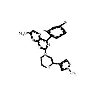 Cc1cnc2c(-c3ccc(F)cc3F)nc(N3CCOC(c4cnn(C)c4)C3)nc2n1